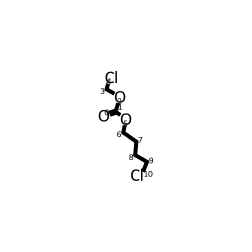 O=C(OCCl)OCCCCCl